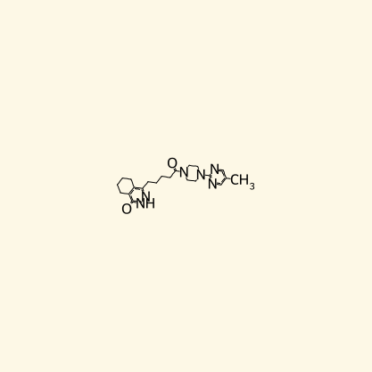 Cc1cnc(N2CCN(C(=O)CCCCc3n[nH]c(=O)c4c3CCCC4)CC2)nc1